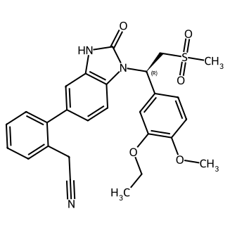 CCOc1cc([C@H](CS(C)(=O)=O)n2c(=O)[nH]c3cc(-c4ccccc4CC#N)ccc32)ccc1OC